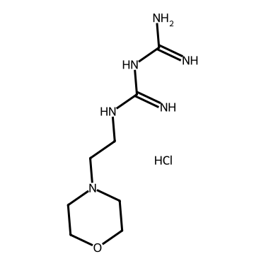 Cl.N=C(N)NC(=N)NCCN1CCOCC1